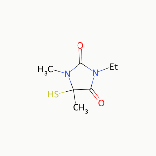 CCN1C(=O)N(C)C(C)(S)C1=O